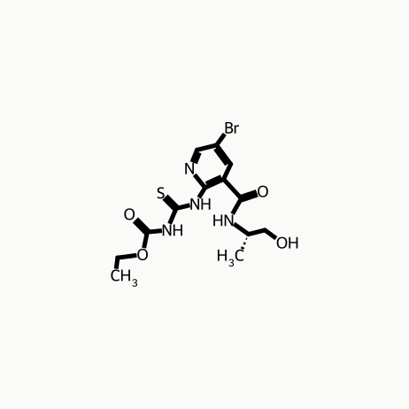 CCOC(=O)NC(=S)Nc1ncc(Br)cc1C(=O)N[C@@H](C)CO